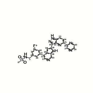 CS(=O)(=O)NCc1cc(F)cc(-c2cncc3[nH]c(-c4n[nH]c5ccc(-c6cnccn6)nc45)cc23)c1